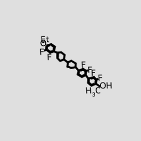 CCOc1ccc(C2=CCC(C3CCC(c4ccc(-c5ccc(C(C)O)c(F)c5F)c(F)c4F)CC3)CC2)c(F)c1F